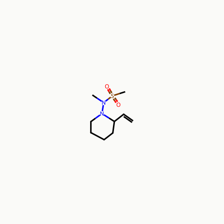 C=CC1CCCCN1N(C)S(C)(=O)=O